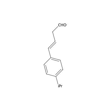 CC(C)c1ccc(/C=C/C[C]=O)cc1